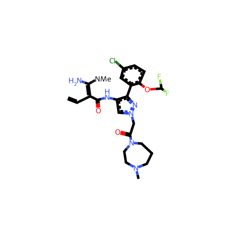 C=C/C(C(=O)Nc1cn(CC(=O)N2CCCN(C)CC2)nc1-c1cc(Cl)ccc1OC(F)F)=C(\N)NC